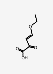 CCO/C=C/C(=O)C(=O)O